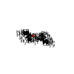 CCN(c1nc(NCC(=O)NCCNC(=O)CNc2nc(N(CC)C3CC(C)(C)NC(C)(C)C3)nc(N(CC)C3CC(C)(C)NC(C)(C)C3)n2)nc(N(CC)C2CC(C)(C)NC(C)(C)C2)n1)C1CC(C)(C)NC(C)(C)C1